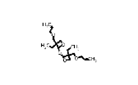 C=CCOCC1(CC)COC1OC1OCC1(CC)COCC=C